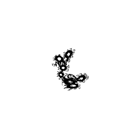 C=Nc1ccccc1N(Cc1ccccc1)c1ccc(-c2cccc(-c3nc4ccccc4c4c3oc3ccccc34)c2)cc1